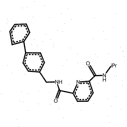 CC(C)NC(=O)c1cccc(C(=O)NCc2ccc(-c3ccccc3)cc2)n1